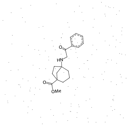 COC(=O)C12CCCC(NCC(=O)c3ccccc3)(CC1)C2